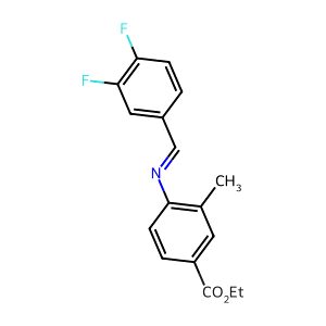 CCOC(=O)c1ccc(N=Cc2ccc(F)c(F)c2)c(C)c1